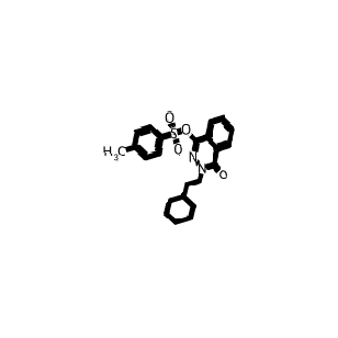 Cc1ccc(S(=O)(=O)Oc2nn(CCC3CCCCC3)c(=O)c3ccccc23)cc1